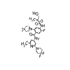 Cc1cc(NC(=O)c2cc(F)c(NS(=O)(=O)[C@@H](C)CO)cc2N2CCC3(CC2)CC3)cc(N2CCC(F)(F)CC2)n1